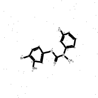 CN(C(=O)Oc1ccc(Br)c(C(C)(C)C)c1)c1cccc(Cl)c1